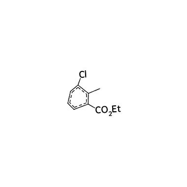 CCOC(=O)c1cccc(Cl)c1C